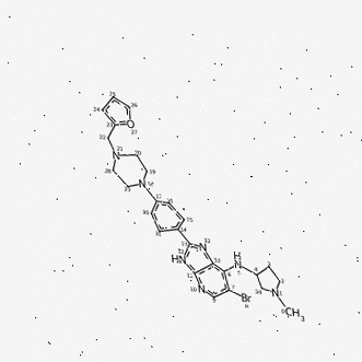 CN1CCC(Nc2c(Br)cnc3[nH]c(-c4ccc(N5CCN(Cc6ccco6)CC5)cc4)nc23)C1